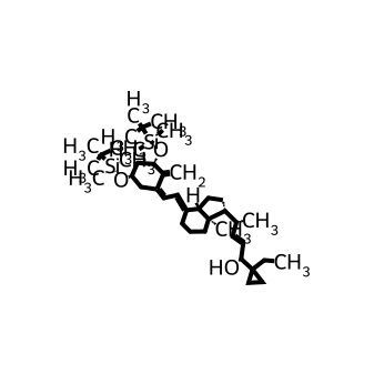 C=C1/C(=C\C=C2/CCC[C@]3(C)[C@@H]([C@H](C)/C=C/[C@@H](O)C4(CC)CC4)CC[C@@H]23)C[C@@H](O[Si](C)(C)C(C)(C)C)C[C@@H]1O[Si](C)(C)C(C)(C)C